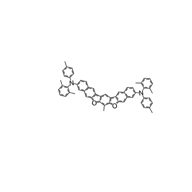 Cc1ccc(N(c2ccc3cc4c(cc3c2)oc2c(C)c3oc5cc6cc(N(c7ccc(C)cc7)c7c(C)cccc7C)ccc6cc5c3cc24)c2c(C)cccc2C)cc1